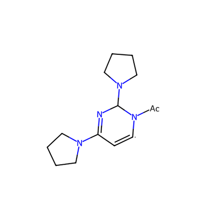 CC(=O)N1[C]=CC(N2CCCC2)=NC1N1CCCC1